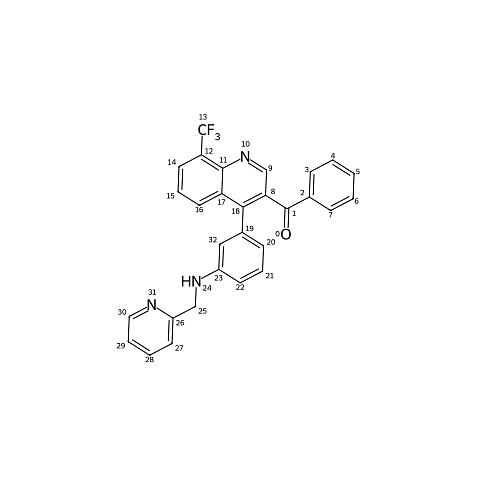 O=C(c1ccccc1)c1cnc2c(C(F)(F)F)cccc2c1-c1cccc(NCc2ccccn2)c1